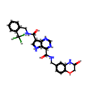 O=C1COc2ccc(CNC(=O)c3ncnc4c(C(=O)NCc5ccccc5C(F)(F)F)c[nH]c34)cc2N1